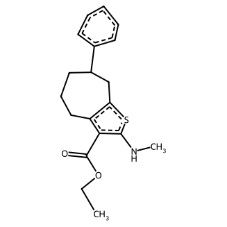 CCOC(=O)c1c(NC)sc2c1CCCC(c1ccccc1)C2